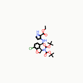 CCOC(=O)c1[nH]ccc1NCc1ccc(Cl)c2c1C(N(C(=O)OC(C)(C)C)C(=O)OC(C)(C)C)CO2